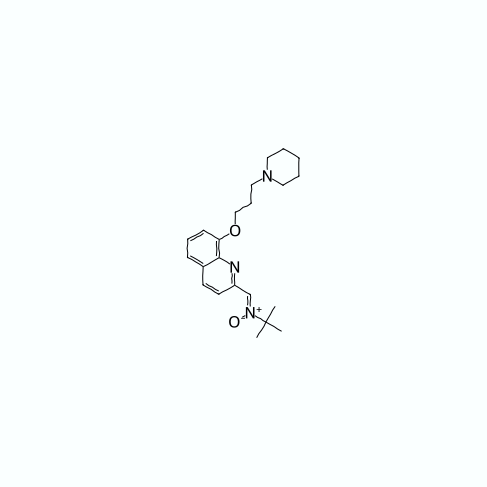 CC(C)(C)/[N+]([O-])=C/c1ccc2cccc(OCCCN3CCCCC3)c2n1